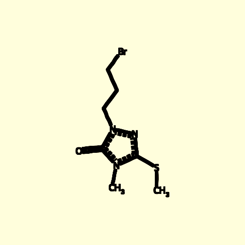 CSc1nn(CCCBr)c(=O)n1C